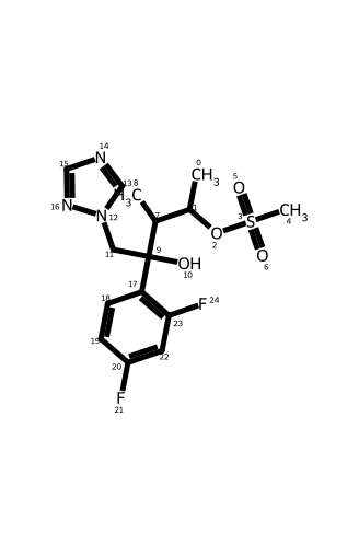 CC(OS(C)(=O)=O)C(C)C(O)(Cn1cncn1)c1ccc(F)cc1F